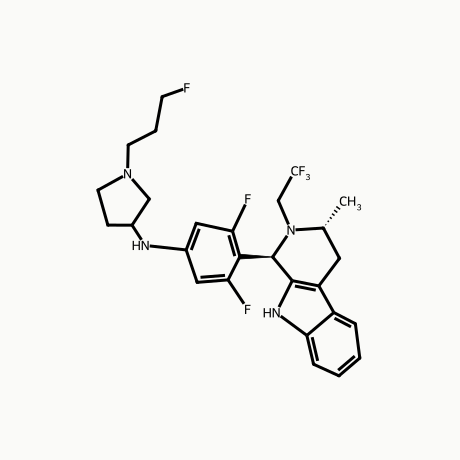 C[C@@H]1Cc2c([nH]c3ccccc23)[C@@H](c2c(F)cc(NC3CCN(CCCF)C3)cc2F)N1CC(F)(F)F